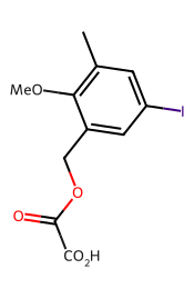 COc1c(C)cc(I)cc1COC(=O)C(=O)O